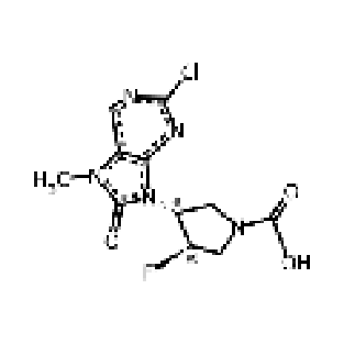 Cn1c(=O)n([C@@H]2CN(C(=O)O)C[C@H]2F)c2nc(Cl)ncc21